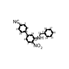 N#Cc1ccc(-c2ccc([N+](=O)[O-])c(NCc3ccccc3)c2)cc1